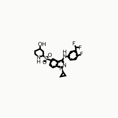 O=S(=O)(c1ccc2c(c1)c(Nc1ccc(F)c(C(F)F)c1)nn2C1CC1)C1CC(O)CCN1